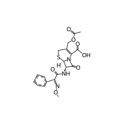 CON=C(C(=O)N[C@@H]1C(=O)N2C(C(=O)O)=C(COC(C)=O)CS[C@H]12)c1ccccc1